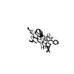 C=CCCNC(=O)C(=O)[C@@H](CCC=C)NC(=O)[C@@H]1[C@@H]2C(CN1C(=O)[C@H](C1CCCCC1)N(C)C(=O)NC13CC4CC(CC(C4)C1)C3)C2(C)C